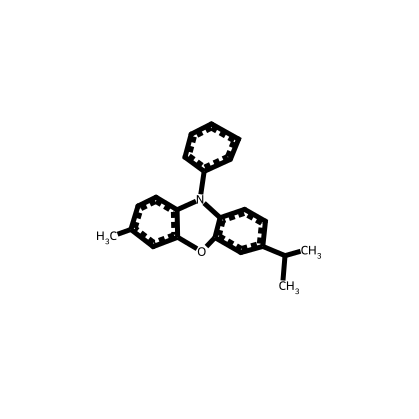 Cc1ccc2c(c1)Oc1cc(C(C)C)ccc1N2c1ccccc1